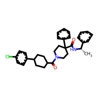 C[C@H](NC(=O)C1(c2ccccc2)CCN(C(=O)C2CCC(c3ccc(Cl)cc3)CC2)CC1)c1ccccc1